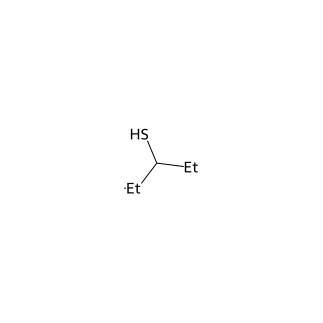 C[CH]C(S)CC